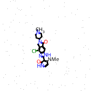 CNc1cc[nH]c(=O)c1-c1nc2c(Cl)c3c(cc2[nH]1)C(=O)N(C1CCN(C)CC1)C3